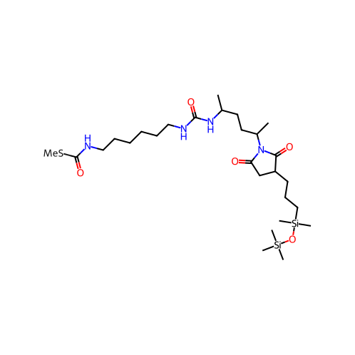 CSC(=O)NCCCCCCNC(=O)NC(C)CCC(C)N1C(=O)CC(CCC[Si](C)(C)O[Si](C)(C)C)C1=O